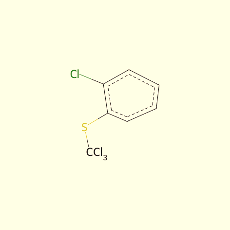 Clc1ccccc1SC(Cl)(Cl)Cl